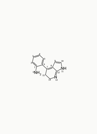 Nc1ccccc1C1=c2cc[nH]c2=NCC1